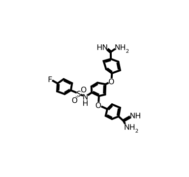 N=C(N)c1ccc(Oc2ccc(NS(=O)(=O)c3ccc(F)cc3)c(Oc3ccc(C(=N)N)cc3)c2)cc1